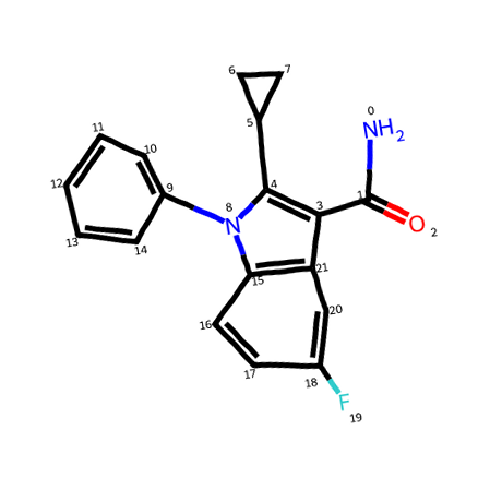 NC(=O)c1c(C2CC2)n(-c2ccccc2)c2ccc(F)cc12